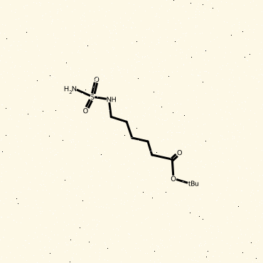 CC(C)(C)OC(=O)CCCCCNS(N)(=O)=O